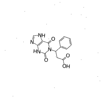 O=C(O)CC(c1ccccc1)n1c(=O)[nH]c2nc[nH]c2c1=O